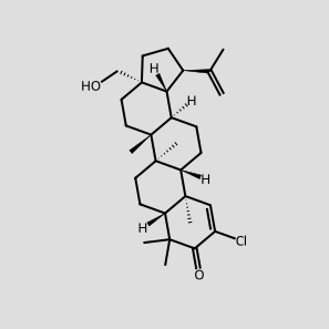 C=C(C)[C@@H]1CC[C@]2(CO)CC[C@]3(C)[C@H](CC[C@@H]4[C@@]5(C)C=C(Cl)C(=O)C(C)(C)[C@@H]5CC[C@]43C)[C@@H]12